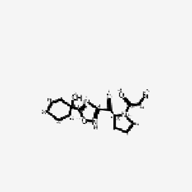 CC1(c2nc(C(=O)[C@@H]3CCCN3C(=O)CBr)no2)CCCCC1